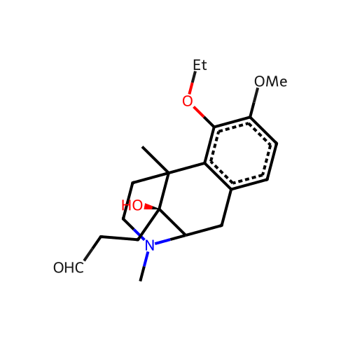 CCOc1c(OC)ccc2c1C1(C)CCN(C)C(C2)[C@]1(O)CCC=O